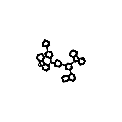 c1ccc(-c2ccc(N(c3ccc(-c4cc(-c5cccc6ccccc56)cc(-n5c6ccccc6c6ccccc65)c4)cc3)c3cccc4oc5ccccc5c34)cc2)cc1